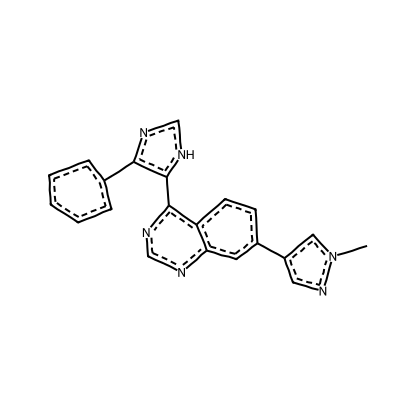 Cn1cc(-c2ccc3c(-c4[nH]cnc4-c4ccccc4)ncnc3c2)cn1